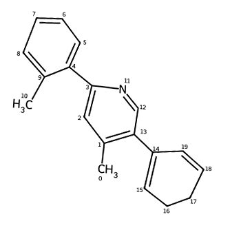 Cc1cc(-c2ccccc2C)ncc1C1=CCCC=C1